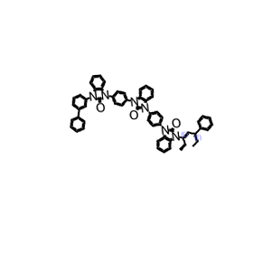 C=C/C(=C\C(=C/C)c1ccccc1)n1c(=O)n(-c2ccc(-n3c(=O)n(-c4ccc(-n5c(=O)n(-c6cccc(-c7ccccc7)c6)c6ccccc65)cc4)c4ccccc43)cc2)c2ccccc21